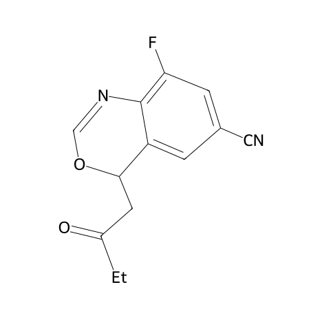 CCC(=O)CC1OC=Nc2c(F)cc(C#N)cc21